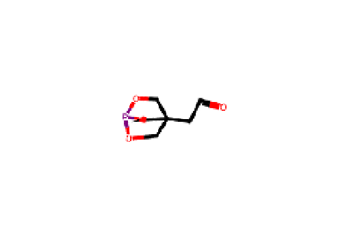 O=CCC12COP(OC1)OC2